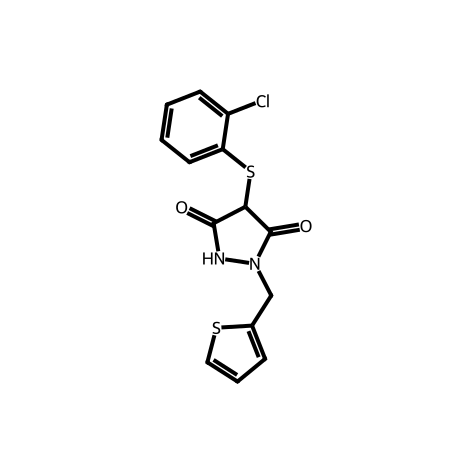 O=C1NN(Cc2cccs2)C(=O)C1Sc1ccccc1Cl